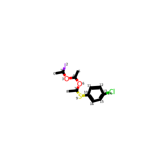 CC(I)OC(C)OC(C)Sc1ccc(Cl)cc1